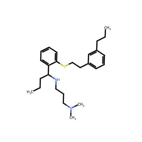 CCCc1cccc(CCSc2ccccc2C(CCC)NCCCN(C)C)c1